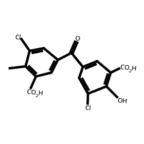 Cc1c(Cl)cc(C(=O)c2cc(Cl)c(O)c(C(=O)O)c2)cc1C(=O)O